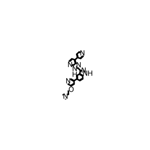 CN(C)CCOc1cncc(-c2ccc3[nH]nc(-c4nc5c(-c6ccncc6)ccnc5[nH]4)c3c2)c1